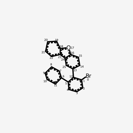 Brc1cccc(-c2ccccc2)c1-c1ccc2oc3ccccc3c2c1